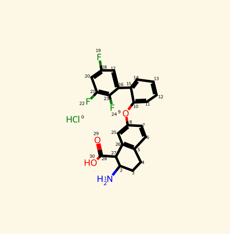 Cl.NC1CCc2ccc(Oc3ccccc3-c3cc(F)cc(F)c3F)cc2C1C(=O)O